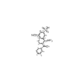 Nc1c(C(=O)c2ccccc2)ccc2c(O)cc(S(=O)(=O)O)cc12